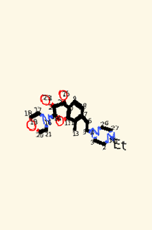 CCN1CCN(CCc2ccc3c(c2C)OC(N2CCOCC2)C(=O)C3=O)CC1